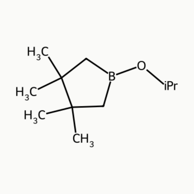 CC(C)OB1CC(C)(C)C(C)(C)C1